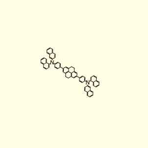 c1ccc2cc(N(c3ccc(-c4cc5c6c(c4)CCc4cc(-c7ccc(N(c8ccc9ccccc9c8)c8cccc9ccccc89)cc7)cc(c4-6)CC5)cc3)c3cccc4ccccc34)ccc2c1